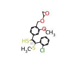 COc1cc(/C(S)=C(/SC)c2ccccc2Cl)ccc1COC1CO1